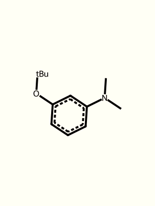 CN(C)c1cccc(OC(C)(C)C)c1